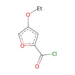 CCOc1coc(C(=O)Cl)c1